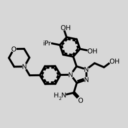 CC(C)c1cc(C2N(CCO)N=C(C(N)=O)N2c2ccc(CN3CCOCC3)cc2)c(O)cc1O